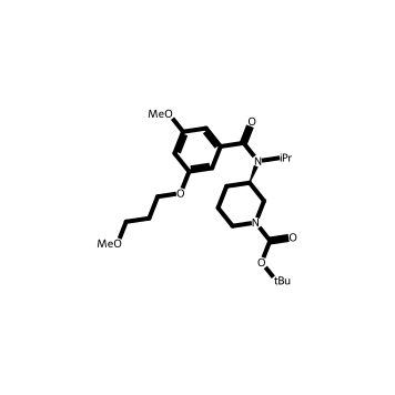 COCCCOc1cc(OC)cc(C(=O)N(C(C)C)[C@@H]2CCCN(C(=O)OC(C)(C)C)C2)c1